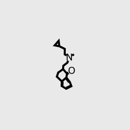 CN(CCC1CC1)CCC1CCc2ccccc2C1=O